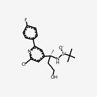 CC(C)(C)[S@+]([O-])N[C@@](C)(CCO)c1cc(Cl)nc(-c2ccc(F)cc2)c1